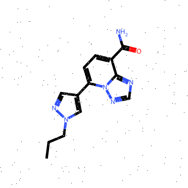 CCCn1cc(-c2ccc(C(N)=O)c3n[c]nn23)cn1